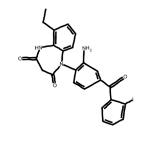 CCc1cccc2c1NC(=O)CC(=O)N2c1ccc(C(=O)c2ccccc2I)cc1N